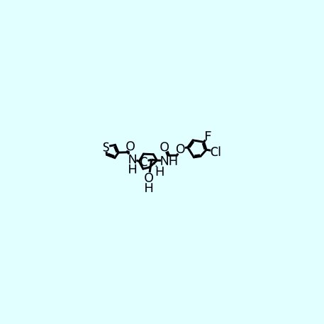 O=C(COc1ccc(Cl)c(F)c1)NC12CCC(NC(=O)c3ccsc3)(CC1)C[C@@H]2O